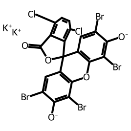 O=C1OC2(c3cc(Br)c([O-])c(Br)c3Oc3c2cc(Br)c([O-])c3Br)c2c(Cl)ccc(Cl)c21.[K+].[K+]